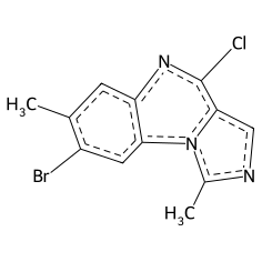 Cc1cc2nc(Cl)c3cnc(C)n3c2cc1Br